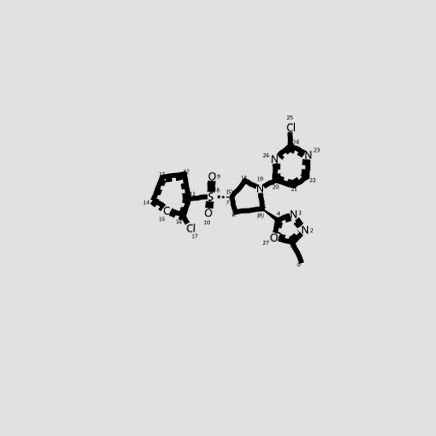 Cc1nnc([C@H]2C[C@H](S(=O)(=O)c3ccccc3Cl)CN2c2ccnc(Cl)n2)o1